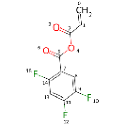 C=CC(=O)OC(=O)c1cc(F)c(F)cc1F